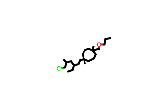 CCCOCC1(C)CCCC(C)(CCC(CC)CC(C)CCl)CCC1